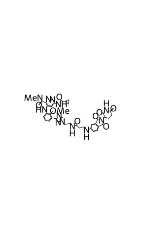 CNC(=O)c1nnc(NC(=O)C2CC2)cc1Nc1cccc(-c2ncn(CCNC(=O)CCNc3ccc4c(c3)C(=O)N(C3CCC(=O)NC3=O)C4=O)n2)c1OC